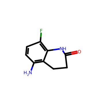 Nc1ccc(F)c2c1CCC(=O)N2